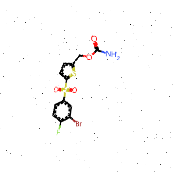 NC(=O)OCc1ccc(S(=O)(=O)c2ccc(F)c(Br)c2)s1